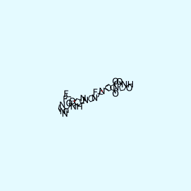 O=C1CCC(N2C(=O)c3ccc(N4CC(F)(CN5CCC(n6cc7cc(NC(=O)c8cnn9cccnc89)c(OCC(F)F)cc7n6)CC5)C4)cc3C2=O)C(=O)N1